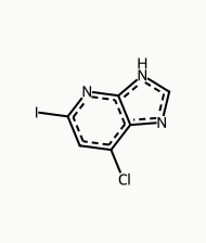 Clc1cc(I)nc2[nH]cnc12